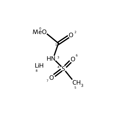 COC(=O)NS(C)(=O)=O.[LiH]